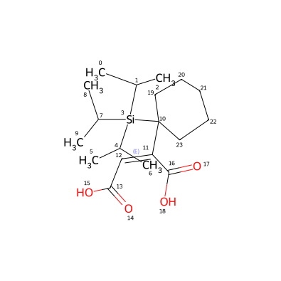 CC(C)[Si](C(C)C)(C(C)C)C1(/C(=C/C(=O)O)C(=O)O)CCCCC1